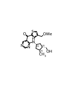 COCc1csc(C(=O)c2cncnc2N[C@@H]2C[C@H](CO)[C@@H](C)C2)c1